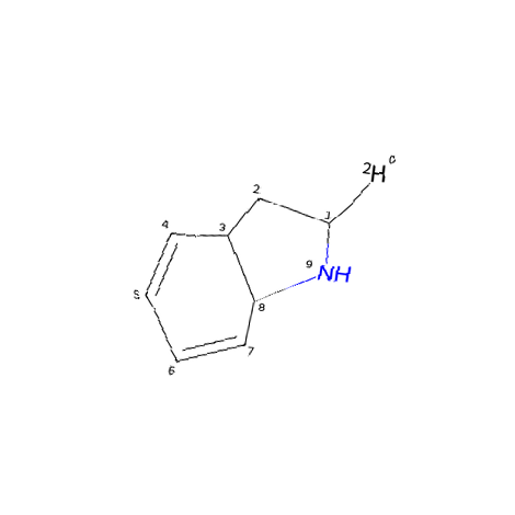 [2H]C1CC2C=CC=CC2N1